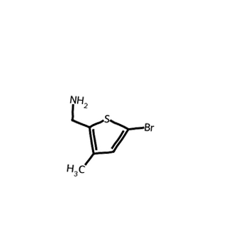 Cc1cc(Br)sc1CN